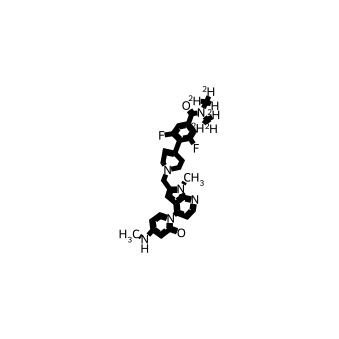 [2H]C([2H])([2H])N(C(=O)c1cc(F)c(C2=CCN(Cc3cc4c(-n5ccc(NC)cc5=O)ccnc4n3C)CC2)c(F)c1)C([2H])([2H])[2H]